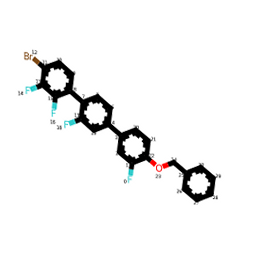 Fc1cc(-c2ccc(-c3ccc(Br)c(F)c3F)c(F)c2)ccc1OCc1ccccc1